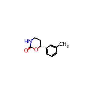 Cc1cccc([C@H]2CCNC(=O)O2)c1